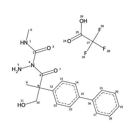 CNC(=O)N(N)C(=O)C(C)(CO)c1ccc(-c2ccccc2)cc1.O=C(O)C(F)(F)F